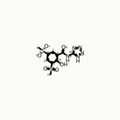 CS(=O)(=O)c1cc(C(=O)Nc2nnn[nH]2)c(O)c(S(C)(=O)=O)c1